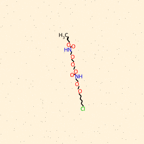 C/C=C/COC(=O)NCCOCCOCCOC(=O)NCCOCCOCCCCCCCl